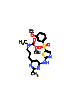 CCOc1cccc(S(=O)(=O)c2cnc(Nc3cc(CCCN(C)C(=O)OC(C)(C)C)nc(C)n3)s2)c1